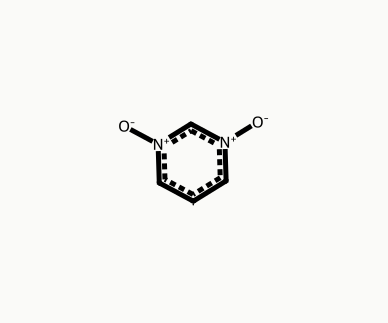 [O-][n+]1c[c]c[n+]([O-])c1